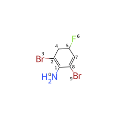 NC1=C(Br)CC(F)C=C1Br